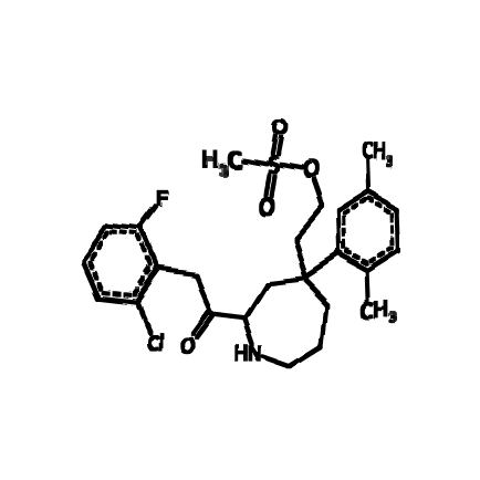 Cc1ccc(C)c(C2(CCOS(C)(=O)=O)CCCNC(C(=O)Cc3c(F)cccc3Cl)C2)c1